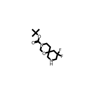 CC(C)(C)OC(=O)N1CCC2(CNCC(F)(F)C2)OC1